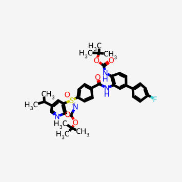 CC(C)c1cncc(S(=O)(=NC(=O)OC(C)(C)C)c2ccc(C(=O)Nc3cc(-c4ccc(F)cc4)ccc3NC(=O)OC(C)(C)C)cc2)c1